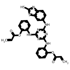 C=CC(=O)Oc1ccccc1Nc1nc(Nc2ccc3nc(S)sc3c2)nc(Nc2ccccc2OC(=O)C=C)n1